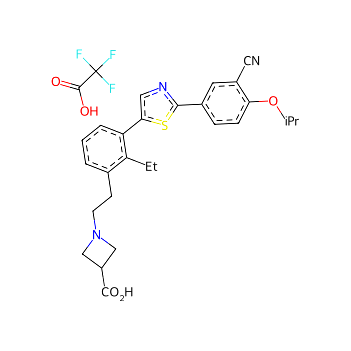 CCc1c(CCN2CC(C(=O)O)C2)cccc1-c1cnc(-c2ccc(OC(C)C)c(C#N)c2)s1.O=C(O)C(F)(F)F